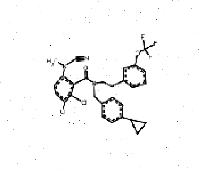 CN(C#N)c1ccc(Cl)c(Cl)c1C(=O)N(CCc1cccc(OC(F)(F)F)c1)Cc1ccc(C2CC2)cc1